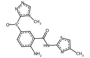 Cc1csc(NC(=O)c2cc([S+]([O-])c3nncn3C)ccc2N)n1